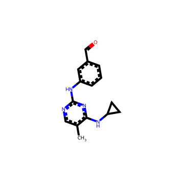 Cc1cnc(Nc2cccc(C=O)c2)nc1NC1CC1